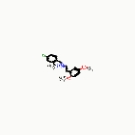 COc1ccc(OC)c(CCNCc2ccc(Cl)cc2C)c1